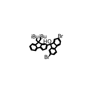 CCC(C)CC1(CC(C)CC)c2ccccc2-c2ccc(C3(O)c4cc(Br)ccc4-c4ccc(Br)cc43)cc21